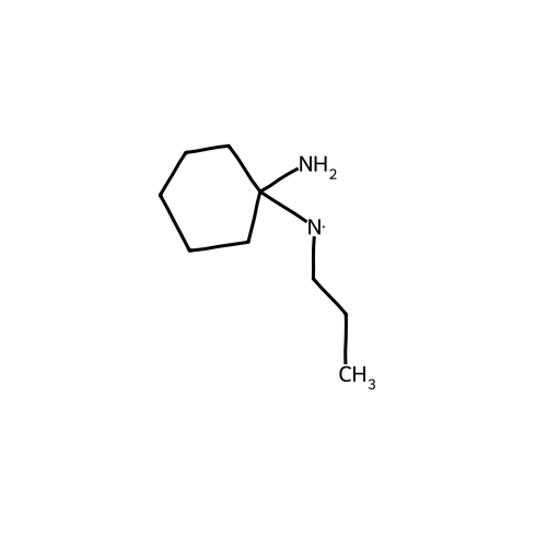 CCC[N]C1(N)CCCCC1